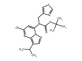 CC(C)c1cnn2c(N(Cc3cscn3)C(=O)OC(C)(C)C)cc(Cl)nc12